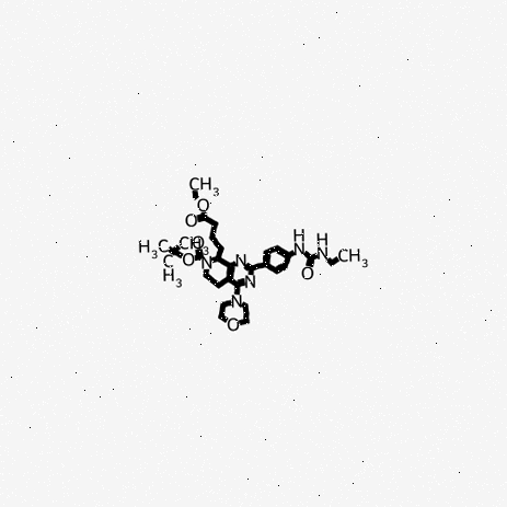 CCNC(=O)Nc1ccc(-c2nc3c(c(N4CCOCC4)n2)CCN(C(=O)OC(C)(C)C)C3CCCC(=O)OCC)cc1